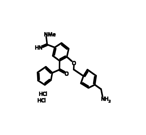 CNC(=N)c1ccc(OCc2ccc(CN)cc2)c(C(=O)c2ccccc2)c1.Cl.Cl